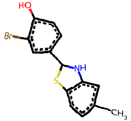 Cc1ccc2c(c1)NC(c1ccc(O)c(Br)c1)S2